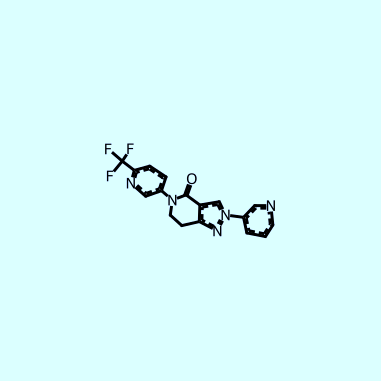 O=C1c2cn(-c3cccnc3)nc2CCN1c1ccc(C(F)(F)F)nc1